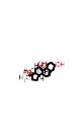 CC1(O)CC[C@H]2[C@@H]3CC=C4CC(O)CC[C@]4(C)[C@@H]3C(O)C[C@@]21C